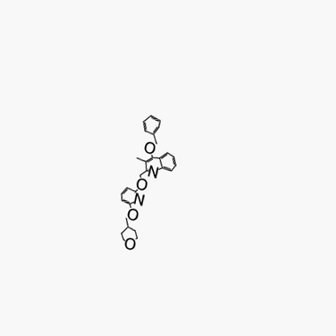 Cc1c(COc2cccc(OCC3CCOCC3)n2)nc2ccccc2c1OCc1ccccc1